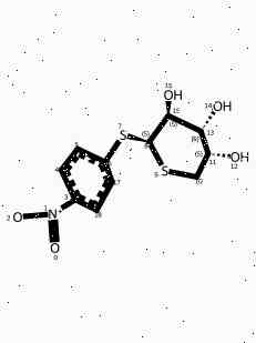 O=[N+]([O-])c1ccc(S[C@@H]2SC[C@@H](O)[C@@H](O)[C@@H]2O)cc1